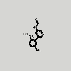 Cl.Nc1ccc(N)c(-c2cncc(NC=O)c2)c1